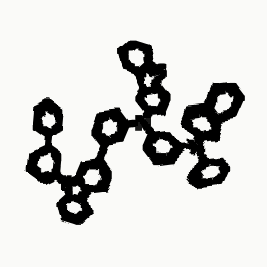 c1ccc(-c2cccc(-n3c4ccccc4c4ccc(-c5cccc(N(c6cccc(N(c7ccccc7)c7ccc8ccccc8c7)c6)c6ccc7sc8ccccc8c7c6)c5)cc43)c2)cc1